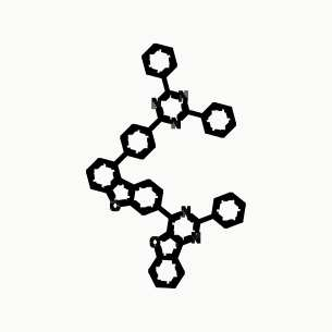 c1ccc(-c2nc(-c3ccccc3)nc(-c3ccc(-c4cccc5oc6cc(-c7nc(-c8ccccc8)nc8c7oc7ccccc78)ccc6c45)cc3)n2)cc1